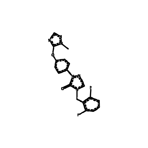 Cn1ncnc1Oc1ccc(-n2ncn(Cc3c(F)cccc3F)c2=O)cc1